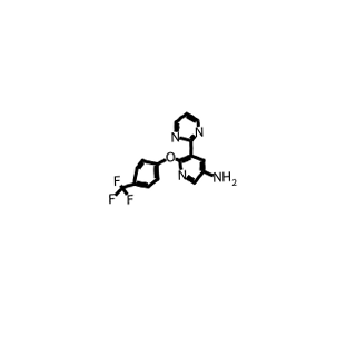 Nc1cnc(Oc2ccc(C(F)(F)F)cc2)c(-c2ncccn2)c1